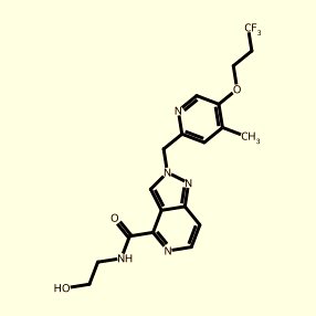 Cc1cc(Cn2cc3c(C(=O)NCCO)nccc3n2)ncc1OCCC(F)(F)F